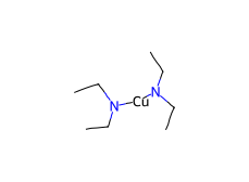 CC[N](CC)[Cu][N](CC)CC